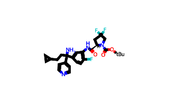 CC(C)(C)OC(=O)N1CC(F)(F)C[C@@H]1C(=O)Nc1cc(C(N)(CCC2CC2)c2ccncc2)ccc1F